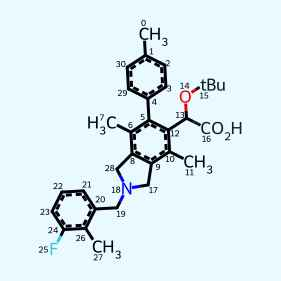 Cc1ccc(-c2c(C)c3c(c(C)c2C(OC(C)(C)C)C(=O)O)CN(Cc2cccc(F)c2C)C3)cc1